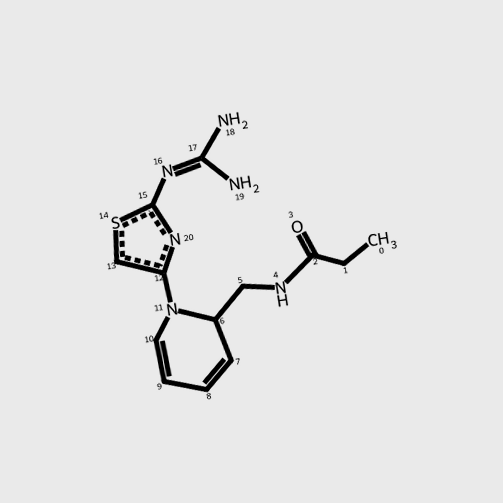 CCC(=O)NCC1C=CC=CN1c1csc(N=C(N)N)n1